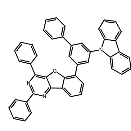 c1ccc(-c2cc(-c3cccc4c3oc3c(-c5ccccc5)nc(-c5ccccc5)nc34)cc(-n3c4ccccc4c4ccccc43)c2)cc1